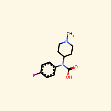 CN1CCC(N(C(=O)O)c2ccc(I)cc2)CC1